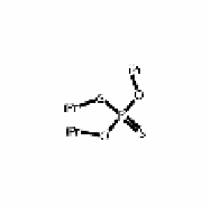 CC(C)OP(=S)(OC(C)C)SC(C)C